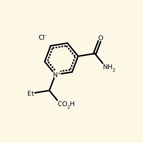 CCC(C(=O)O)[n+]1cccc(C(N)=O)c1.[Cl-]